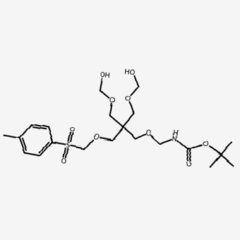 Cc1ccc(S(=O)(=O)COCC(COCO)(COCO)COCNC(=O)OC(C)(C)C)cc1